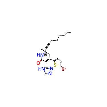 CCCCCCC#C[C@]1(C)CC(c2ccc(Br)s2)=C(c2nnc[nH]2)C(=O)N1